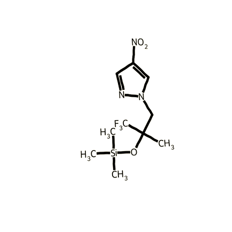 CC(Cn1cc([N+](=O)[O-])cn1)(O[Si](C)(C)C)C(F)(F)F